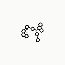 c1ccc(-c2ccc(N(c3ccc(-c4cccc5c4oc4c5ccc5ccc6ccccc6c54)cc3)c3cc4ccccc4c4ccccc34)cc2)cc1